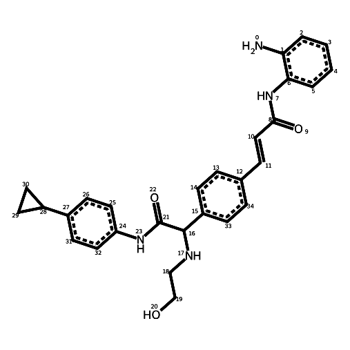 Nc1ccccc1NC(=O)/C=C/c1ccc(C(NCCO)C(=O)Nc2ccc(C3CC3)cc2)cc1